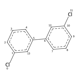 Clc1c[c]cc(-c2cccc(Cl)c2)c1